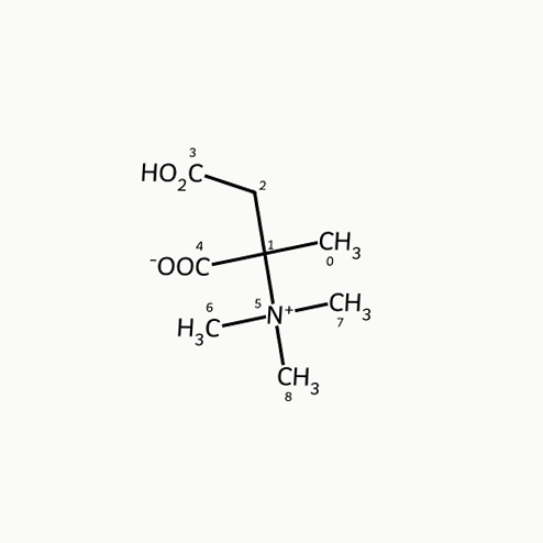 CC(CC(=O)O)(C(=O)[O-])[N+](C)(C)C